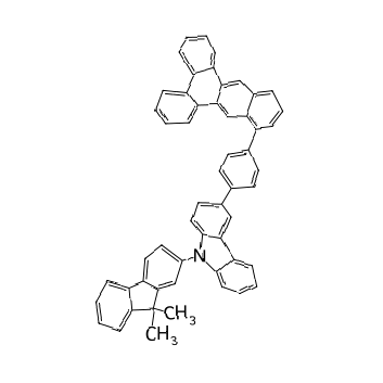 CC1(C)c2ccccc2-c2ccc(-n3c4ccccc4c4cc(-c5ccc(-c6cccc7cc8c9ccccc9c9ccccc9c8cc67)cc5)ccc43)cc21